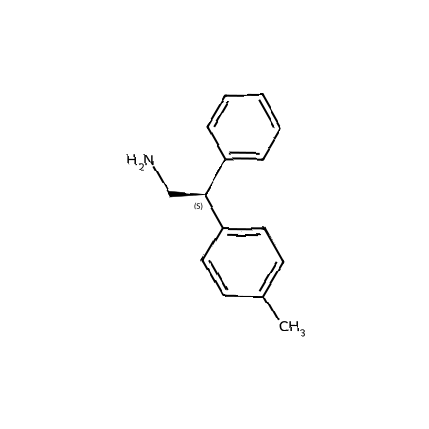 Cc1ccc([C@@H](CN)c2ccccc2)cc1